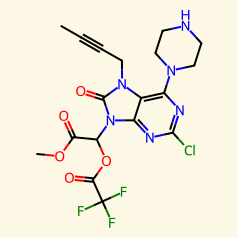 CC#CCn1c(=O)n(C(OC(=O)C(F)(F)F)C(=O)OC)c2nc(Cl)nc(N3CCNCC3)c21